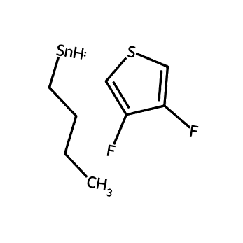 CCC[CH2][SnH].Fc1cscc1F